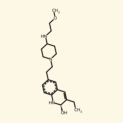 CCC1=Cc2cc(CCN3CCC(NCCOC)CC3)ccc2N[C@@H]1O